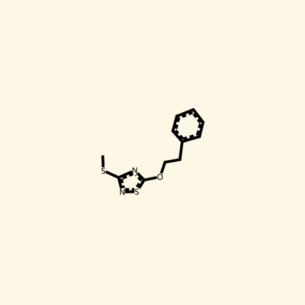 CSc1nsc(OCCc2ccccc2)n1